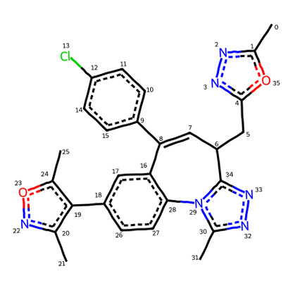 Cc1nnc(CC2C=C(c3ccc(Cl)cc3)c3cc(-c4c(C)noc4C)ccc3-n3c(C)nnc32)o1